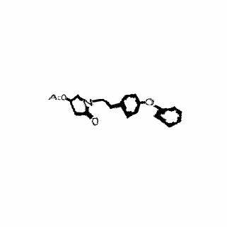 CC(=O)OC1CC(=O)N(CCc2ccc(Oc3ccccc3)cc2)C1